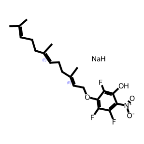 CC(C)=CCC/C(C)=C/CC/C(C)=C/COc1c(F)c(O)c([N+](=O)[O-])c(F)c1F.[NaH]